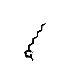 CCCCCCCCc1ccc(C)s1